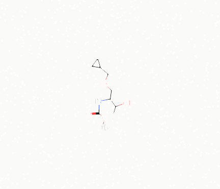 CC(C)(C)OC(=O)NC(COCC1CC1)C(O)C(=O)O